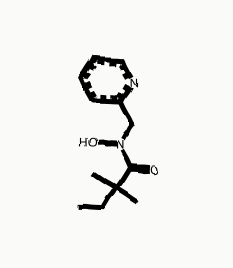 CCC(C)(C)C(=O)N(O)Cc1ccccn1